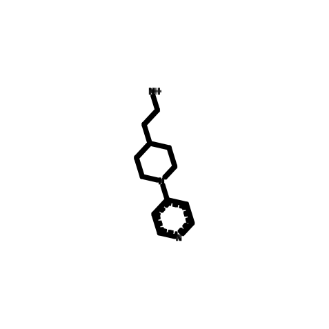 [NH]CCC1CCN(c2ccncc2)CC1